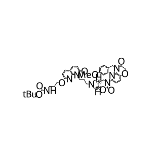 COc1ccc(CN2C(=O)COc3ccc(N4C[C@@H]5CN(CCCn6c(=O)ccc7ccc(OCCCNC(=O)OC(C)(C)C)nc76)C[C@@H]5OC4=O)nc32)cc1